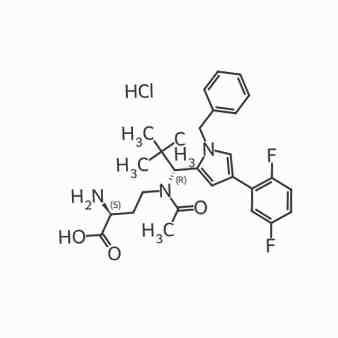 CC(=O)N(CC[C@H](N)C(=O)O)[C@@H](c1cc(-c2cc(F)ccc2F)cn1Cc1ccccc1)C(C)(C)C.Cl